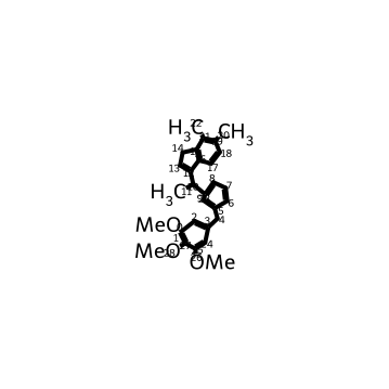 COc1cc(Cc2cccc(C(C)C3=CCc4c3ccc(C)c4C)c2)cc(OC)c1OC